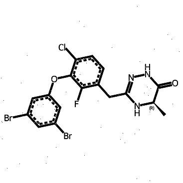 C[C@H]1NC(Cc2ccc(Cl)c(Oc3cc(Br)cc(Br)c3)c2F)=NNC1=O